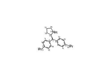 CC(C)c1ccc(C(c2ccc(C(C)C)cc2)[C@H]2CCCN2)cc1